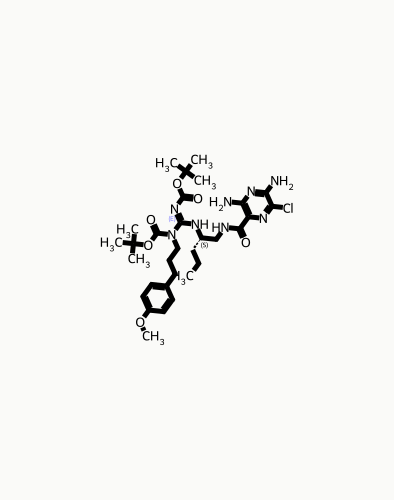 CCC[C@@H](CNC(=O)c1nc(Cl)c(N)nc1N)N/C(=N\C(=O)OC(C)(C)C)N(CCCc1ccc(OC)cc1)C(=O)OC(C)(C)C